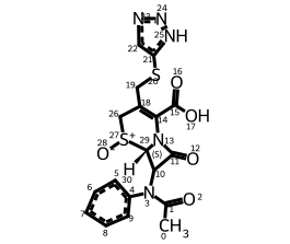 CC(=O)N(c1ccccc1)C1C(=O)N2C(C(=O)O)=C(CSc3cnn[nH]3)C[S+]([O-])[C@@H]12